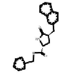 O=C1N[C@@H](C(=O)OCc2ccccc2)C[C@@H]1Cc1ccc2ccccc2c1